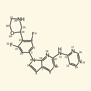 Fc1cc(-n2ccc3cnc(Nc4ccncn4)nc32)cc(F)c1C1CNCCO1